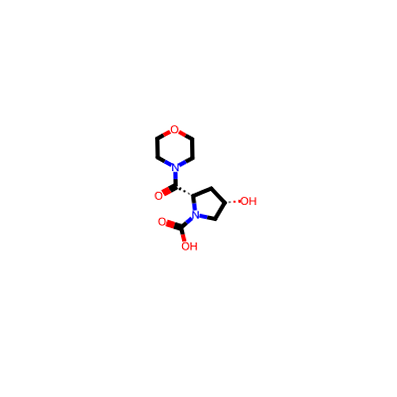 O=C([C@@H]1C[C@H](O)CN1C(=O)O)N1CCOCC1